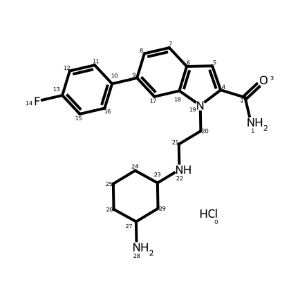 Cl.NC(=O)c1cc2ccc(-c3ccc(F)cc3)cc2n1CCNC1CCCC(N)C1